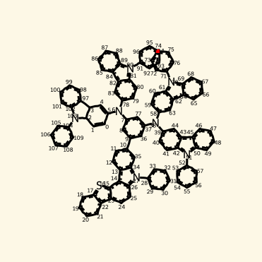 C1=CC2C(C=C1N(c1cc(-c3ccc4c5c6sc7ccccc7c6ccc5n(-c5ccccc5)c4c3)cc(N(c3ccc4c(c3)c3ccccc3n4-c3ccccc3)c3ccc4c(c3)c3ccccc3n4-c3ccccc3)c1)c1ccc3c(c1)c1ccccc1n3-c1ccccc1)c1ccccc1N2c1ccccc1